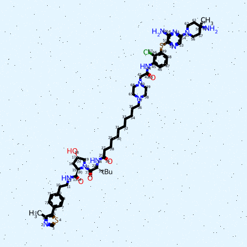 Cc1ncsc1-c1ccc(CCNC(=O)[C@H]2C[C@H](O)CN2C(=O)[C@H](NC(=O)CCCCCCCCCCN2CCN(CC(=O)Nc3cccc(Sc4ncc(N5CCC(C)(N)CC5)nc4N)c3Cl)CC2)C(C)(C)C)cc1